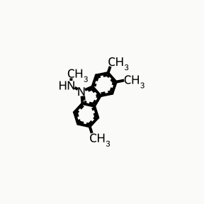 CNn1c2ccc(C)cc2c2cc(C)c(C)cc21